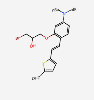 CCCCN(CCCC)c1ccc(/C=C/c2ccc(C=O)s2)c(OCC(O)CBr)c1